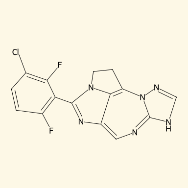 Fc1ccc(Cl)c(F)c1-c1nc2c3n1CCC=3N1N=CNC1=NC=2